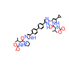 COC(=O)N[C@H](C(=O)N1CCC[C@H]1c1ncc(-c2ccc(-c3ccc(-c4cnc([C@H]5C=C(C6CC6)CN5C(=O)[C@H](NC(=O)OC)C(C)C)[nH]4)cc3)cc2)[nH]1)C(C)C